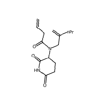 C=CCC(=O)N(CC(=C)CCC)C1CCC(=O)NC1=O